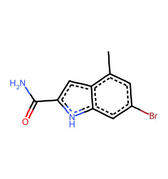 Cc1cc(Br)cc2[nH]c(C(N)=O)cc12